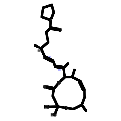 C/C(=C\C=C\[C@@H](C)CCC(=O)N1CCCC1)C1OC(=O)CC(O)(O)CCC(C)[CH]C=CC1C